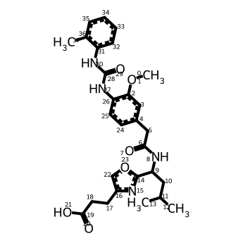 COc1cc(CC(=O)NC(CC(C)C)c2nc(CCC(=O)O)co2)ccc1NC(=O)Nc1ccccc1C